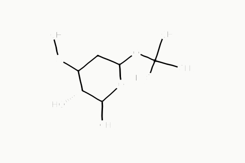 COC1CC(OC(C)(C)C)OC(C)[C@@H]1O